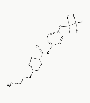 CCCC[C@H]1CC[C@H](C(=O)Oc2ccc(OC(F)(F)C(F)(F)F)cc2)CC1